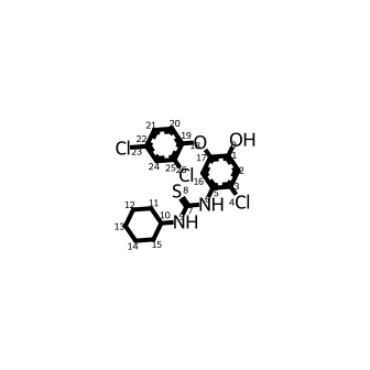 Oc1cc(Cl)c(NC(=S)NC2CCCCC2)cc1Oc1ccc(Cl)cc1Cl